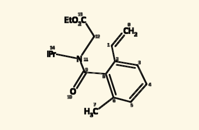 C=Cc1cccc(C)c1C(=O)N(CC(=O)OCC)C(C)C